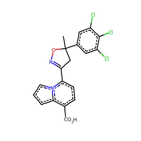 CC1(c2cc(Cl)c(Cl)c(Cl)c2)CC(c2ccc(C(=O)O)c3cccn23)=NO1